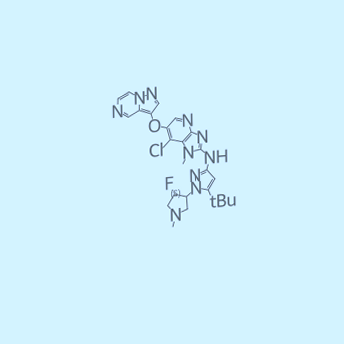 CN1CC(n2nc(Nc3nc4ncc(Oc5cnn6ccncc56)c(Cl)c4n3C)cc2C(C)(C)C)[C@@H](F)C1